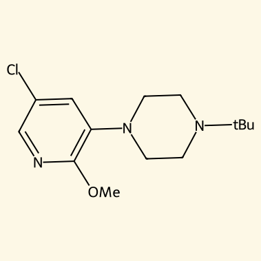 COc1ncc(Cl)cc1N1CCN(C(C)(C)C)CC1